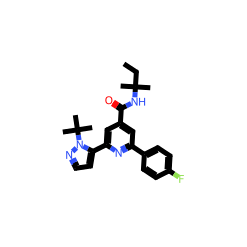 CCC(C)(C)NC(=O)c1cc(-c2ccc(F)cc2)nc(-c2ccnn2C(C)(C)C)c1